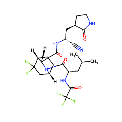 CC(C)C[C@H](NC(=O)C(F)(F)F)C(=O)N1[C@@H]2CC[C@H]([C@@H]1C(=O)N[C@@H](C#N)C[C@H]1CCNC1=O)C(F)(F)C2